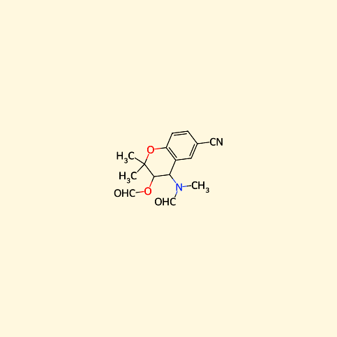 CN(C=O)C1c2cc(C#N)ccc2OC(C)(C)C1OC=O